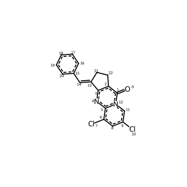 O=c1c2c(nc3c(Cl)cc(Cl)cn13)C(=Cc1ccccc1)CC2